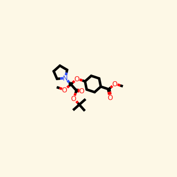 COC(=O)C1CCC(OC(OC)(C(=O)OC(C)(C)C)N2CCCC2)CC1